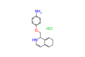 Cl.Nc1ccc(OCC2NC=CC3=CCCC=C32)cc1